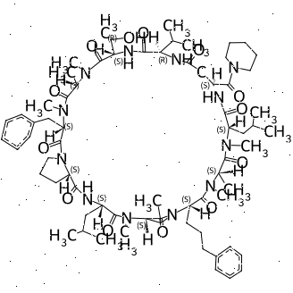 CC(C)C[C@@H]1NC(=O)[C@@H]2CCCN2C(=O)[C@H](Cc2ccccc2)N(C)C(=O)[C@H](C)N(C)C(=O)[C@H]([C@@H](C)O)NC(=O)[C@@H](C(C)C)NC(=O)C[C@@H](C(=O)N2CCCCC2)NC(=O)[C@H](CC(C)C)N(C)C(=O)[C@H](C)N(C)C(=O)[C@H](CCCc2ccccc2)N2C(=O)[C@H](C2C)N(C)C1=O